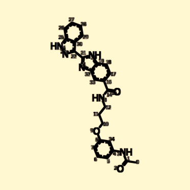 CC(=O)Nc1cccc(OCCCNC(=O)c2ccc3[nH]c(-c4n[nH]c5ccccc45)nc3c2)c1